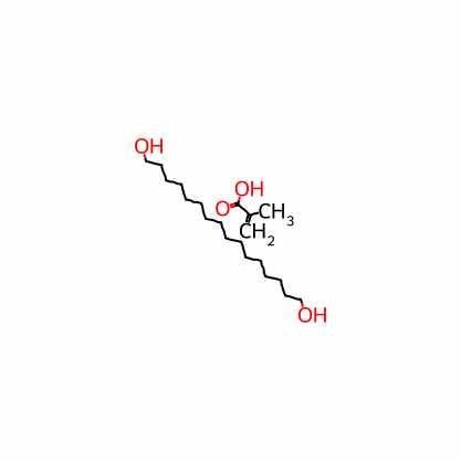 C=C(C)C(=O)O.OCCCCCCCCCCCCCCCCO